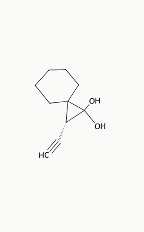 C#C[C@H]1C(O)(O)C12CCCCC2